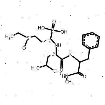 CC[S+]([O-])CC[C@@H](N[C@@H](CC(C)C)C(=O)NC(Cc1ccccc1)C(=O)NC)P(=O)(O)O